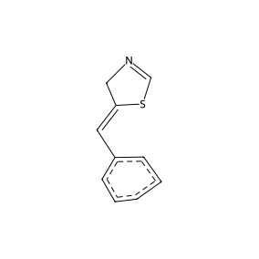 C1=NCC(=Cc2ccccc2)S1